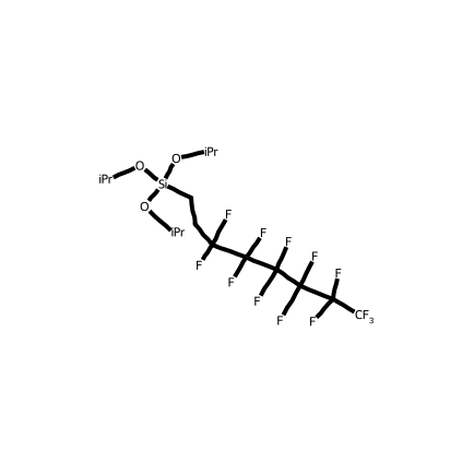 CC(C)O[Si](CCC(F)(F)C(F)(F)C(F)(F)C(F)(F)C(F)(F)C(F)(F)F)(OC(C)C)OC(C)C